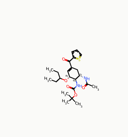 CCC(CC)O[C@@H]1C=C(C(=O)c2cccs2)C[C@H](NC(C)=O)[C@H]1NC(=O)OC(C)(C)C